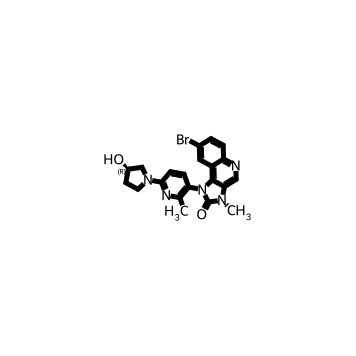 Cc1nc(N2CC[C@@H](O)C2)ccc1-n1c(=O)n(C)c2cnc3ccc(Br)cc3c21